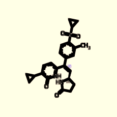 Cc1cc(/C(=C/[C@H]2CCC(=O)N2)c2ccc(C3CC3)c(=O)[nH]2)ccc1S(=O)(=O)C1CC1